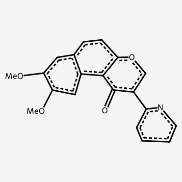 COc1cc2ccc3occ(-c4ccccn4)c(=O)c3c2cc1OC